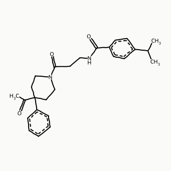 CC(=O)C1(c2ccccc2)CCN(C(=O)CCNC(=O)c2ccc(C(C)C)cc2)CC1